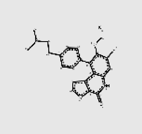 COc1c(F)cc2[nH]c(=O)c3sccc3c2c1-c1ccc(CCN(C)C)cc1.Cl